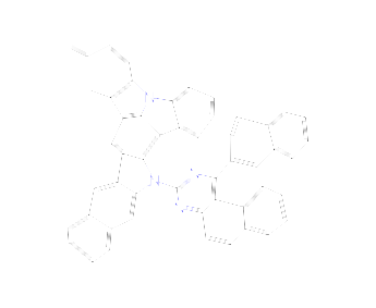 C=C/C=C\c1c(C)c2cc3c4cc5ccccc5cc4n(-c4nc(-c5ccc6ccccc6c5)c5c(ccc6ccccc65)n4)c3c3c4ccccc4n1c23